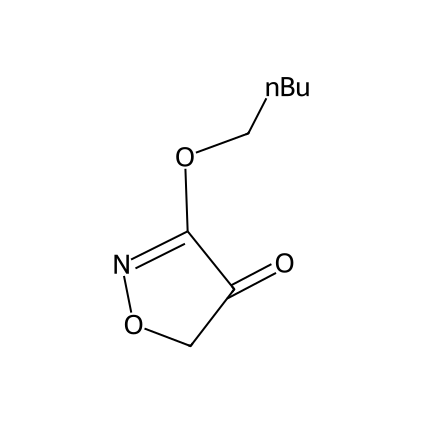 CCCCCOC1=NOCC1=O